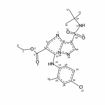 CCOC(=O)c1cnc2c(S(=O)(=O)NC(C)(C)C)cnn2c1Nc1ccc(Cl)cc1C